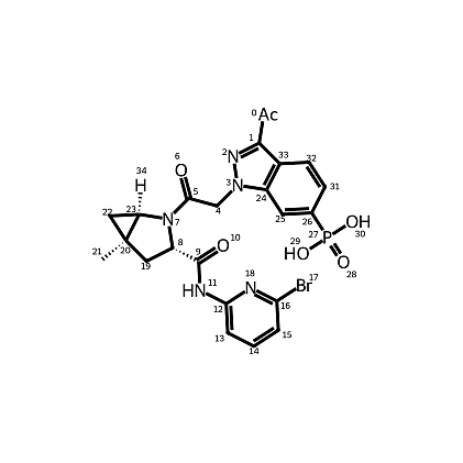 CC(=O)c1nn(CC(=O)N2[C@H](C(=O)Nc3cccc(Br)n3)C[C@@]3(C)C[C@@H]23)c2cc(P(=O)(O)O)ccc12